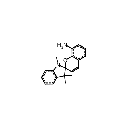 CN1c2ccccc2C(C)(C)C12C=Cc1cccc(N)c1O2